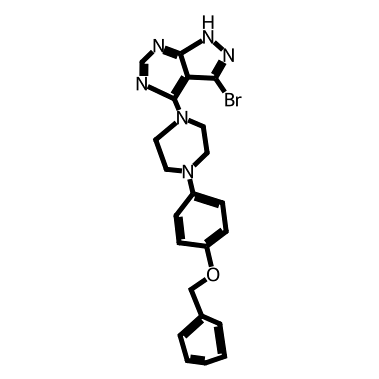 Brc1n[nH]c2ncnc(N3CCN(c4ccc(OCc5ccccc5)cc4)CC3)c12